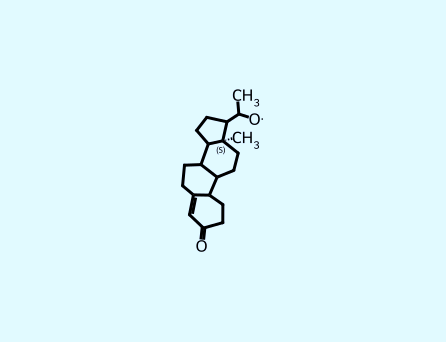 CC([O])C1CCC2C3CCC4=CC(=O)CCC4C3CC[C@]12C